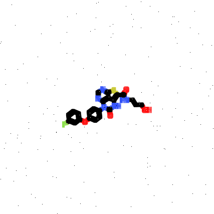 O=C(NCCCO)c1sc2ncnc3c2c1NC(=O)N3c1ccc(Oc2cccc(F)c2)cc1